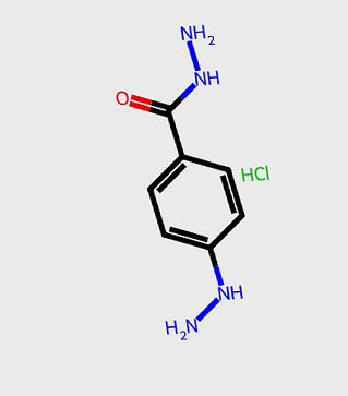 Cl.NNC(=O)c1ccc(NN)cc1